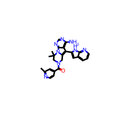 Cc1cc(C(=O)N2Cc3c(-c4cc5cccnc5[nH]4)c4c(N)ncnc4n3C(C)(C)C2)ccn1